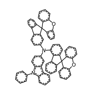 c1ccc(-n2c3ccccc3c3cc(N(c4ccc5c(c4)C4(c6ccccc6Oc6ccccc64)c4ccccc4-5)c4cccc5c4-c4ccccc4C54c5ccccc5Oc5ccccc54)ccc32)cc1